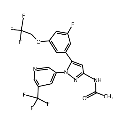 CC(=O)Nc1cc(-c2cc(F)cc(OCC(F)(F)F)c2)n(-c2cncc(C(F)(F)F)c2)n1